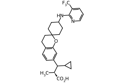 C[C@H](C(=O)O)C(c1ccc2c(c1)OC1(CC2)CCC(Nc2ncccc2C(F)(F)F)CC1)C1CC1